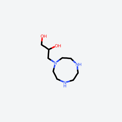 OCC(O)CN1CCNCCNCC1